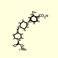 CC(C)(C)OC(=O)N1CCC(CN2CCN(c3ccc(C(=O)O)c(F)c3)CC2)CC1